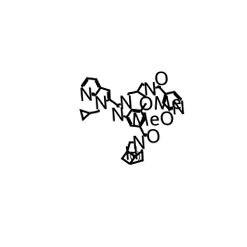 COc1cc(C(=O)N2CC(Cn3c(-c4cc5cccnc5n4CC4CC4)nc4cc(C(=O)N5CC6CC7CC5[C@H]76)cc(OC)c43)C2)ccn1